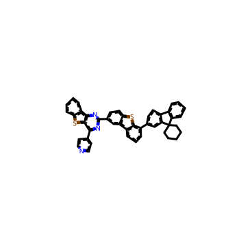 c1ccc2c(c1)-c1ccc(-c3cccc4c3sc3ccc(-c5nc(-c6ccncc6)c6sc7ccccc7c6n5)cc34)cc1C21CCCCC1